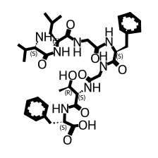 CC(C)C[C@H](NC(=O)[C@@H](N)C(C)C)C(=O)NCC(=O)N[C@@H](Cc1ccccc1)C(=O)NCC(=O)N[C@H](C(=O)N[C@@H](Cc1ccccc1)C(=O)O)[C@@H](C)O